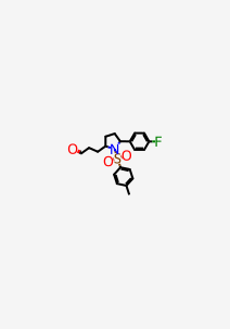 Cc1ccc(S(=O)(=O)N2C(CCC=O)CCC2c2ccc(F)cc2)cc1